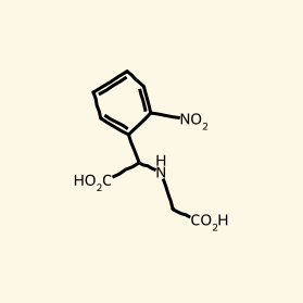 O=C(O)CNC(C(=O)O)c1ccccc1[N+](=O)[O-]